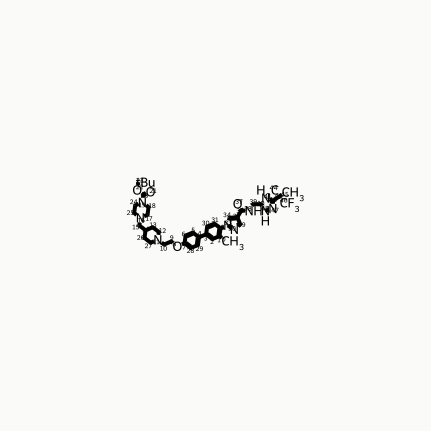 Cc1cc(-c2ccc(OCCN3CCC(CN4CCN(C(=O)OC(C)(C)C)CC4)CC3)cc2)ccc1-n1cc(C(=O)NCc2nc(C(C)(C)C(F)(F)F)n[nH]2)cn1